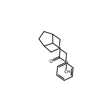 COC(=O)CC1C2CCC1CN(Cc1ccccc1)C2